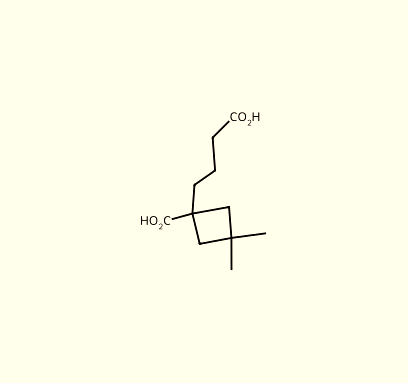 CC1(C)CC(CCCC(=O)O)(C(=O)O)C1